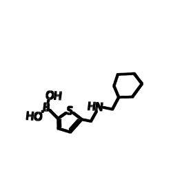 OB(O)c1ccc(CNCC2CCCCC2)s1